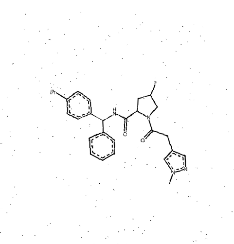 CC(C)c1ccc(C(NC(=O)C2CC(F)CN2C(=O)Cc2cnn(C)c2)c2ccccc2)cc1